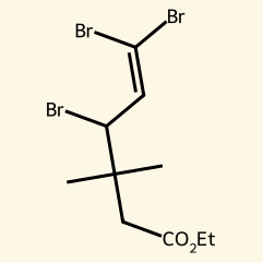 CCOC(=O)CC(C)(C)C(Br)C=C(Br)Br